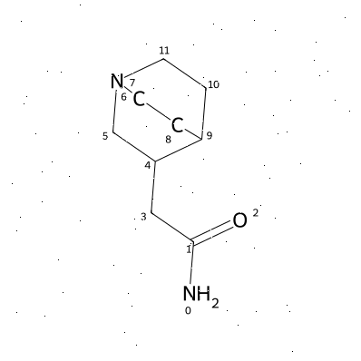 NC(=O)CC1CN2CCC1CC2